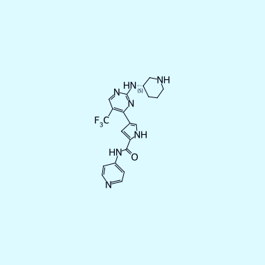 O=C(Nc1ccncc1)c1cc(-c2nc(N[C@H]3CCCNC3)ncc2C(F)(F)F)c[nH]1